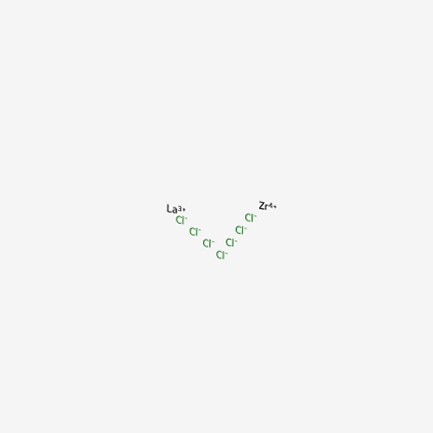 [Cl-].[Cl-].[Cl-].[Cl-].[Cl-].[Cl-].[Cl-].[La+3].[Zr+4]